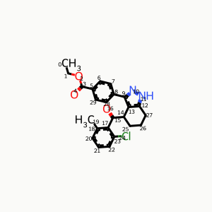 CCOC(=O)c1ccc(-c2n[nH]c3c2C(C(=O)c2c(C)cccc2Cl)CCC3)cc1